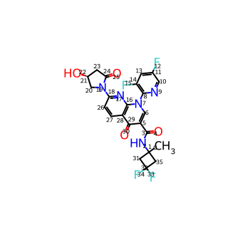 CC1(NC(=O)c2cn(-c3ncc(F)cc3F)c3nc(N4C[C@@H](O)CC4=O)ccc3c2=O)CC(F)(F)C1